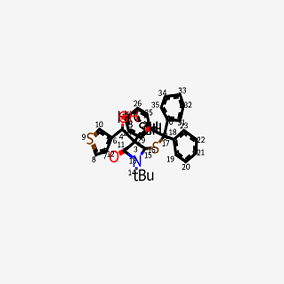 C[SiH](C)C1(C(O)c2ccsc2)C(=O)N(C(C)(C)C)C1SC(c1ccccc1)(c1ccccc1)c1ccccc1